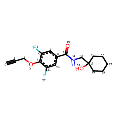 C#CCOc1c(F)cc(C(=O)NCC2(O)CCCCC2)cc1F